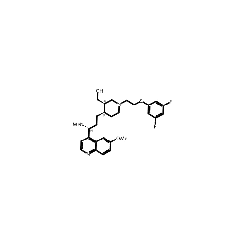 CN[C@H](CC[C@@H]1CCN(CCSc2cc(F)cc(F)c2)C[C@@H]1CO)c1ccnc2ccc(OC)cc12